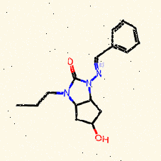 CCCN1C(=O)N(/N=C/c2ccccc2)C2CC(O)CC21